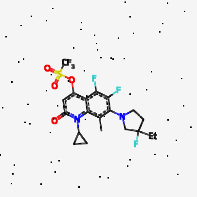 CCC1(F)CCN(c2c(F)c(F)c3c(OS(=O)(=O)C(F)(F)F)cc(=O)n(C4CC4)c3c2C)C1